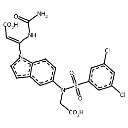 NC(=O)NC(=CC(=O)O)n1ccc2cc(N(CC(=O)O)S(=O)(=O)c3cc(Cl)cc(Cl)c3)ccc21